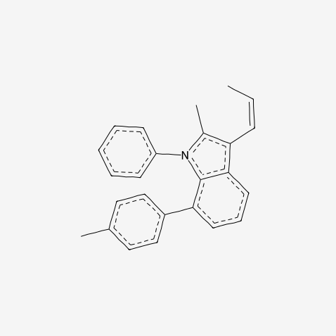 C/C=C\c1c(C)n(-c2ccccc2)c2c(-c3ccc(C)cc3)cccc12